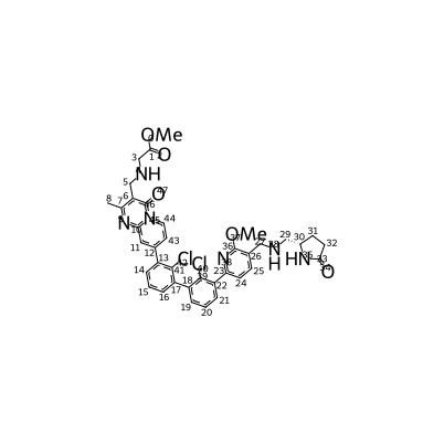 COC(=O)CNCc1c(C)nc2cc(-c3cccc(-c4cccc(-c5ccc(CNC[C@@H]6CCC(=O)N6)c(OC)n5)c4Cl)c3Cl)ccn2c1=O